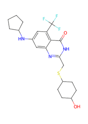 O=c1[nH]c(CSC2CCC(O)CC2)nc2cc(NC3CCCC3)cc(C(F)(F)F)c12